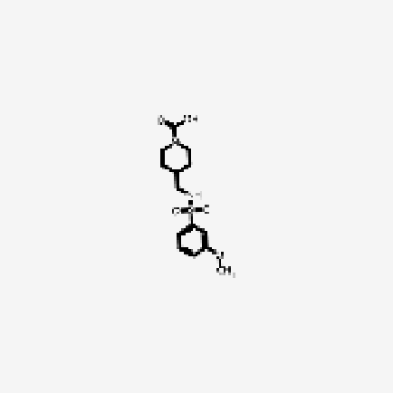 COc1cccc(S(=O)(=O)NCC2CCN(C(=O)O)CC2)c1